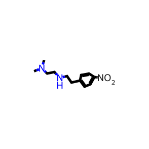 CN(C)CCNCCc1ccc([N+](=O)[O-])cc1